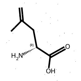 C=C(C)C[C@@H](N)C(=O)O